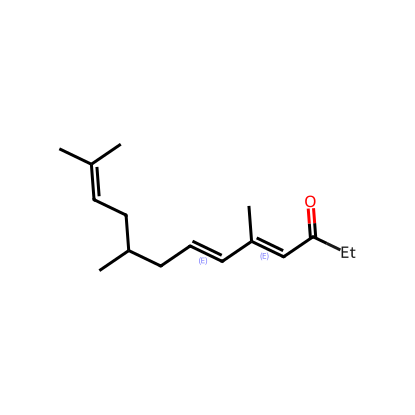 CCC(=O)/C=C(C)/C=C/CC(C)CC=C(C)C